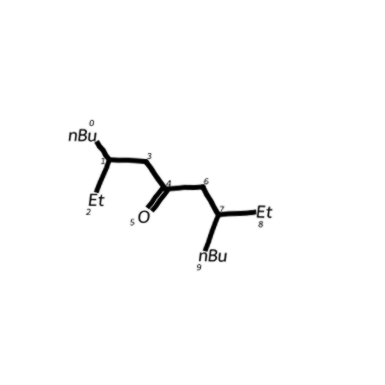 CCCCC(CC)CC(=O)CC(CC)CCCC